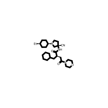 CC[C@H]1CC[C@@H](N2CC[C@](C#N)(NC(=O)[C@@H](CC(=O)N3CCOCC3)CC3CCCCC3)C2)CC1